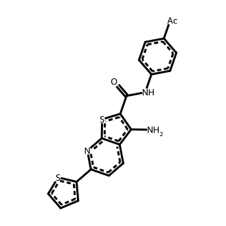 CC(=O)c1ccc(NC(=O)c2sc3nc(-c4cccs4)ccc3c2N)cc1